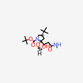 CNC(=O)CC(O)[C@@]1(O[SiH](C)C)C[C@H](C(C)(C)C)CN1C(=O)OC(C)(C)C